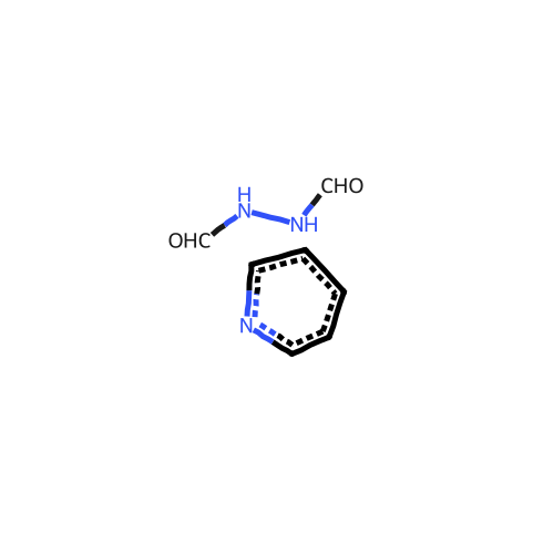 O=CNNC=O.c1ccncc1